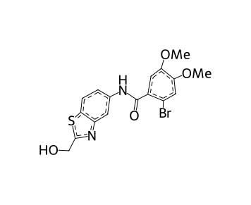 COc1cc(Br)c(C(=O)Nc2ccc3sc(CO)nc3c2)cc1OC